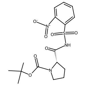 CC(C)(C)OC(=O)N1CCC[C@H]1C(=O)NS(=O)(=O)c1ccccc1[N+](=O)[O-]